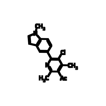 CC(=O)c1c(C)nc(-c2ccc3c(ccn3C)c2)c(Cl)c1C